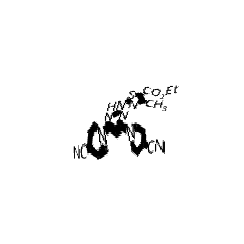 CCOC(=O)c1sc(Nc2nc(N3CCC(C#N)CC3)cc(N3CCC(C#N)CC3)n2)nc1C